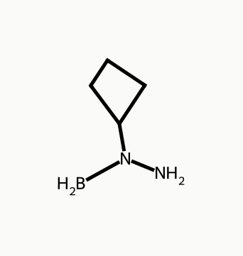 BN(N)C1CCC1